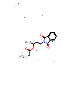 CC(=O)OC(CCN1C(=O)c2ccccc2C1=O)OC(=O)CC(=O)O